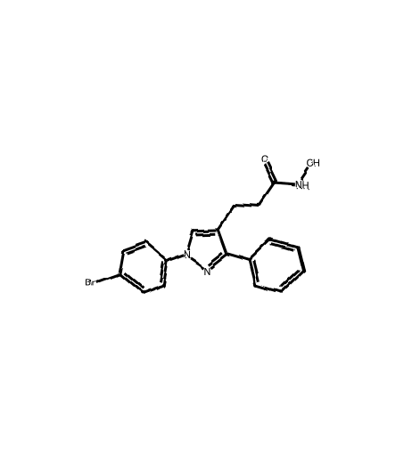 O=C(CCc1cn(-c2ccc(Br)cc2)nc1-c1ccccc1)NO